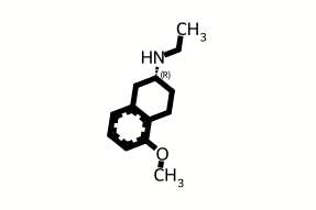 CCN[C@@H]1CCc2c(cccc2OC)C1